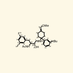 CON=C1CCC(NC[C@@H](O)[C@H](Cc2cc(F)cc(F)c2)NC(C)=O)(c2cccc(C(C)(C)C)c2)CC1